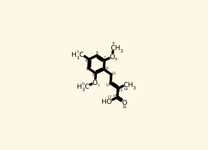 COc1cc(C)cc(OC)c1C/C=C(\C)C(=O)O